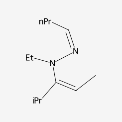 C/C=C(/C(C)C)N(CC)/N=C\CCC